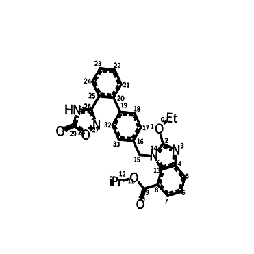 CCOc1nc2cccc(C(=O)OC(C)C)c2n1Cc1ccc(-c2ccccc2-c2noc(=O)[nH]2)cc1